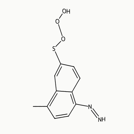 Cc1ccc(N=N)c2ccc(SOOO)cc12